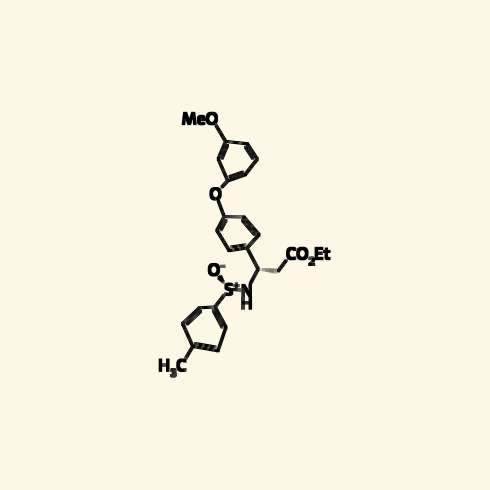 CCOC(=O)C[C@H](N[S@+]([O-])c1ccc(C)cc1)c1ccc(Oc2cccc(OC)c2)cc1